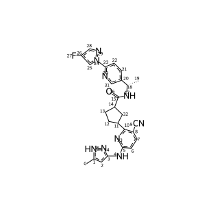 Cc1cc(Nc2ccc(C#N)c(C3CCC(C(=O)N[C@@H](C)c4ccc(-n5cc(F)cn5)nc4)C3)n2)n[nH]1